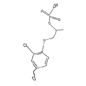 CC(COc1ccc(Cl)cc1Cl)OS(=O)(=O)O